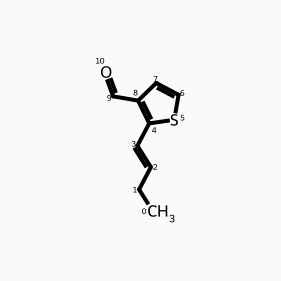 CC/C=C/c1sccc1C=O